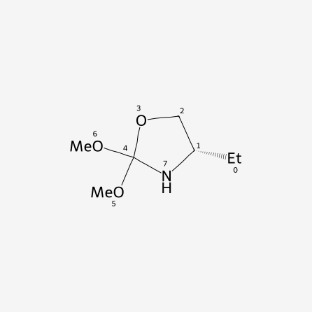 CC[C@H]1COC(OC)(OC)N1